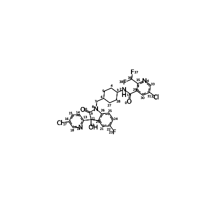 O=C(NC1CCC(CN2C(=O)C(O)(c3ccc(Cl)cn3)c3cc(F)ccc32)CC1)c1cc(Cl)cnc1C(F)F